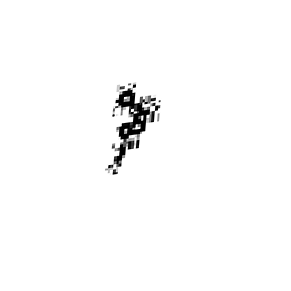 CN(C)C/C=C/C(=O)Nc1cccc2c1CCc1[nH]c(=O)c3c(N)n(-c4cc(O)ccc4Cl)nc3c1-2